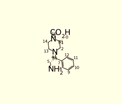 C[C@@H]1CN([C@@H](CN)c2ccccc2)CCN1C(=O)O